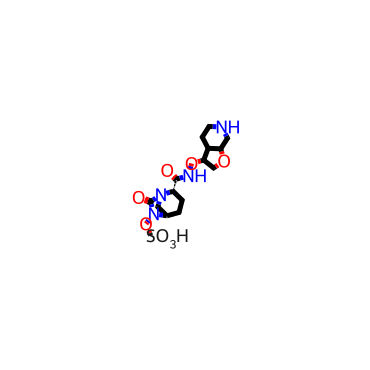 O=C(NOC1COC2CNCCC21)[C@@H]1CCC2CN1C(=O)N2OS(=O)(=O)O